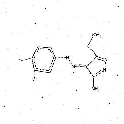 NCC1=NN=C(N)/C1=N/Nc1ccc(F)c(F)c1